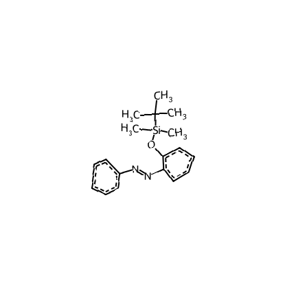 CC(C)(C)[Si](C)(C)Oc1ccccc1N=Nc1ccccc1